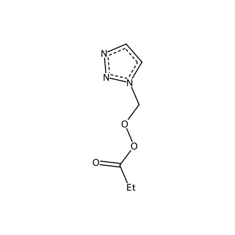 CCC(=O)OOCn1ccnn1